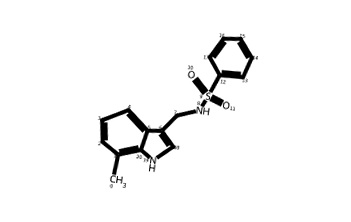 Cc1cccc2c(CNS(=O)(=O)c3ccccc3)c[nH]c12